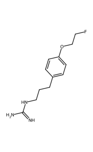 N=C(N)NCCCc1ccc(OCCF)cc1